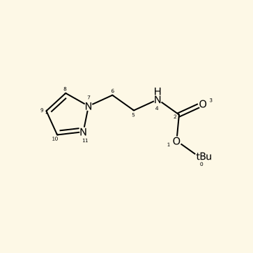 CC(C)(C)OC(=O)NCCn1c[c]cn1